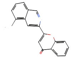 COc1cccc2cnc(-c3cc(=O)c4ccccc4o3)cc12